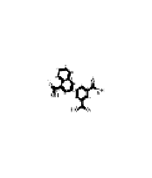 O=C(O)c1cccc(C(=O)O)c1.O=C(O)c1cccc2ccccc12